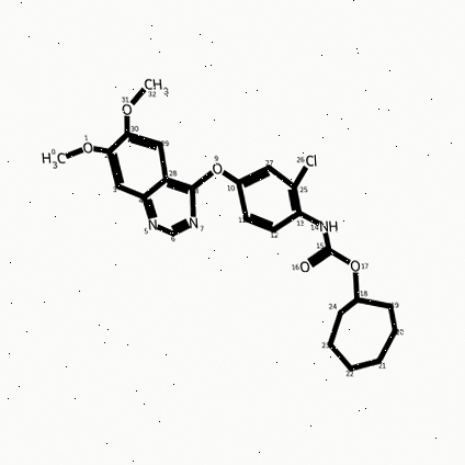 COc1cc2ncnc(Oc3ccc(NC(=O)OC4CCCCCC4)c(Cl)c3)c2cc1OC